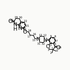 CC1(C)COc2c(cccc2N2CCN(CCCCOc3ccc4c(n3)NC(=O)CC4)CC2)C1=O